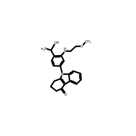 COCCNc1cc(-n2c3c(c4ccccc42)C(=O)CCC3)ccc1C(N)O